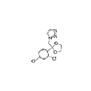 Clc1ccc(C2(Cn3ccnn3)OCCO2)c(Cl)c1